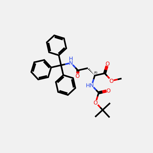 COC(=O)[C@@H](CC(=O)NC(c1ccccc1)(c1ccccc1)c1ccccc1)NC(=O)OC(C)(C)C